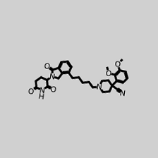 COc1cccc(C2(C#N)CCN(CCCCCc3cccc4c3CN(C3CCC(=O)NC3=O)C4=O)CC2)c1OC